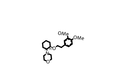 COc1ccc(CCO[C@@H]2CCCC[C@H]2N2CCOCC2)cc1OC